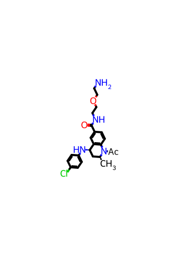 CC(=O)N1c2ccc(C(=O)NCCOCCN)cc2[C@H](Nc2ccc(Cl)cc2)C[C@@H]1C